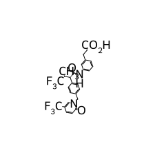 C[C@@H]([C@@H](C(=O)Nc1cccc(CCC(=O)O)c1)c1ccc(Cn2cc(C(F)(F)F)ccc2=O)cc1)C(F)(F)F